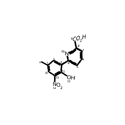 Cc1cc(-c2cccc(C(=O)O)n2)c(O)c([N+](=O)[O-])c1